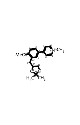 COc1ccc(-c2cc[n+](C)cc2)cc1CC1COC(C)(C)O1